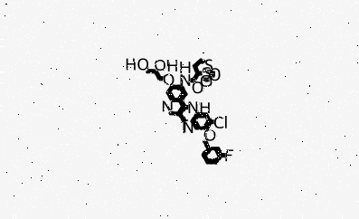 N#Cc1cnc2cc(OCC(O)CO)c(NC(=O)C3CCSS3(=O)=O)cc2c1Nc1ccc(OCc2cccc(F)c2)c(Cl)c1